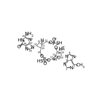 Cc1ncnc2c1ncn2[C@@H]1O[C@@H]2COP(=O)(S)OCC3[C@@H](COP(=O)(S)O[C@H]2[C@@H]1F)C[C@H]3n1cnc2c(=O)[nH]c(N)nc21